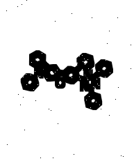 c1ccc(-c2nc(-c3ccccc3)nc(-c3cc4oc5cc6c(cc5c4cc3-c3ccccc3)c3ccccc3n6-c3ccccc3)n2)cc1